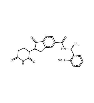 COc1ccccc1[C@@H](NC(=O)c1ccc2c(c1)CN(C1CCC(=O)NC1=O)C2=O)C(F)(F)F